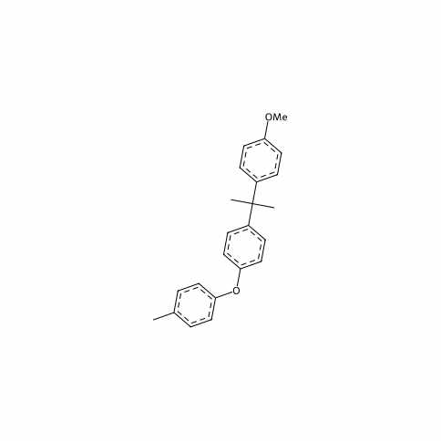 COc1ccc(C(C)(C)c2ccc(Oc3ccc(C)cc3)cc2)cc1